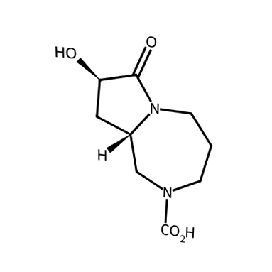 O=C(O)N1CCCN2C(=O)[C@H](O)C[C@H]2C1